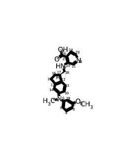 COc1cccc(N(C)c2ccc3c(c2)CC[C@H]3CNc2cnccc2C(=O)O)c1